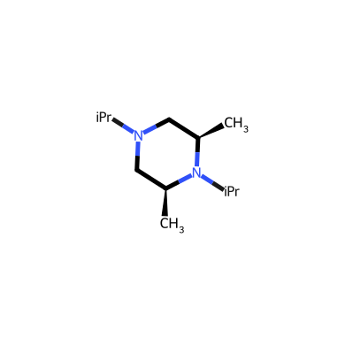 CC(C)N1C[C@@H](C)N(C(C)C)[C@@H](C)C1